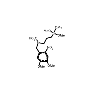 COc1cc(CN(CCC[Si](OC)(OC)OC)C(=O)O)c([N+](=O)[O-])cc1OC